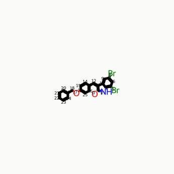 O=C1Nc2c(Br)cc(Br)cc2C1=Cc1ccc(OCc2ccccc2)cc1